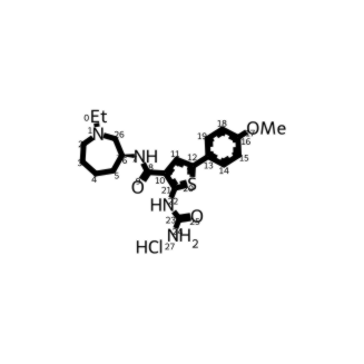 CCN1CCCC[C@H](NC(=O)c2cc(-c3ccc(OC)cc3)sc2NC(N)=O)C1.Cl